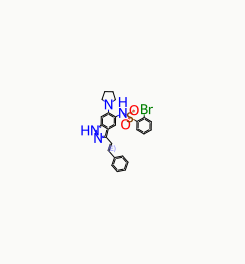 O=S(=O)(Nc1cc2c(/C=C/c3ccccc3)n[nH]c2cc1N1CCCC1)c1ccccc1Br